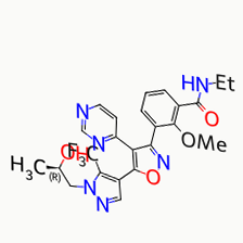 CCNC(=O)c1cccc(-c2noc(-c3cnn(C[C@@H](C)O)c3C(F)(F)F)c2-c2ccncn2)c1OC